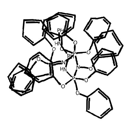 PNPNP(Oc1ccccc1)(Oc1ccccc1)(Oc1ccccc1)N(Oc1ccccc1)P(N=P(Oc1ccccc1)(Oc1ccccc1)Oc1ccccc1)(Oc1ccccc1)(Oc1ccccc1)Oc1ccccc1